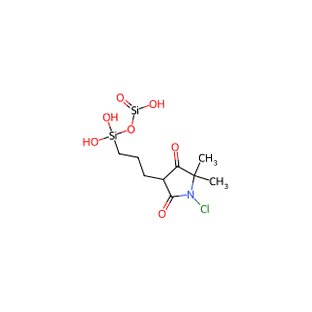 CC1(C)C(=O)C(CCC[Si](O)(O)O[Si](=O)O)C(=O)N1Cl